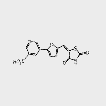 O=C1NC(=O)/C(=C\c2ccc(-c3cncc(C(=O)O)c3)o2)S1